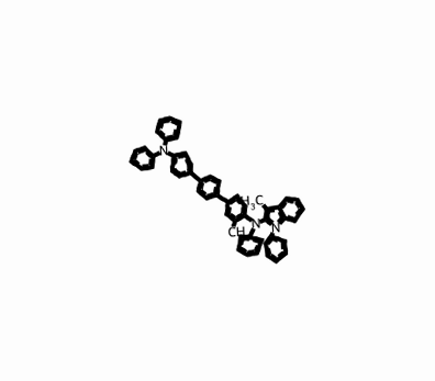 Cc1cc(-c2ccc(-c3ccc(N(c4ccccc4)c4ccccc4)cc3)cc2)ccc1N(c1ccccc1)c1c(C)c2ccccc2n1-c1ccccc1